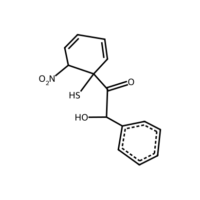 O=C(C(O)c1ccccc1)C1(S)C=CC=CC1[N+](=O)[O-]